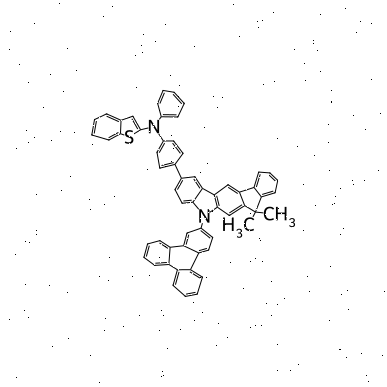 CC1(C)c2ccccc2-c2cc3c4cc(-c5ccc(N(c6ccccc6)c6cc7ccccc7s6)cc5)ccc4n(-c4ccc5c6ccccc6c6ccccc6c5c4)c3cc21